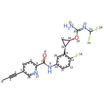 CC#Cc1ccc(C(=O)Nc2ccc(F)c([C@H]3C[C@H]3O/C(N)=N\C(F)F)c2)nc1